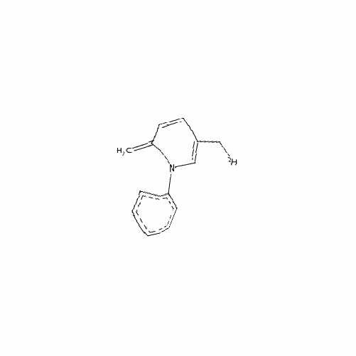 [2H]CC1=CN(c2ccccc2)C(=C)C=C1